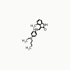 CCCCN(CC)c1ccc(N/C=C2/C(=O)Nc3cccc(C)c32)cc1